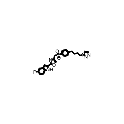 O=S(=O)(Cc1coc(-c2cc3cc(F)ccc3[nH]2)n1)c1ccc(CCCCn2ccnn2)cc1